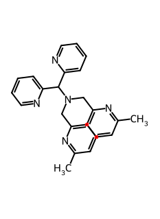 Cc1cccc(CN(Cc2cccc(C)n2)C(c2ccccn2)c2ccccn2)n1